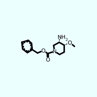 CO[C@@H]1CCN(C(=O)OCc2ccccc2)C[C@@H]1N